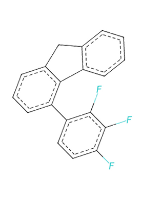 Fc1ccc(-c2cccc3c2-c2ccccc2C3)c(F)c1F